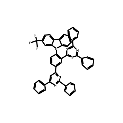 FC(F)(F)c1ccc2c3ccccc3n(-c3ccc(-c4cc(-c5ccccc5)nc(-c5ccccc5)n4)cc3-c3nc(-c4ccccc4)nc(-c4ccccc4)n3)c2c1